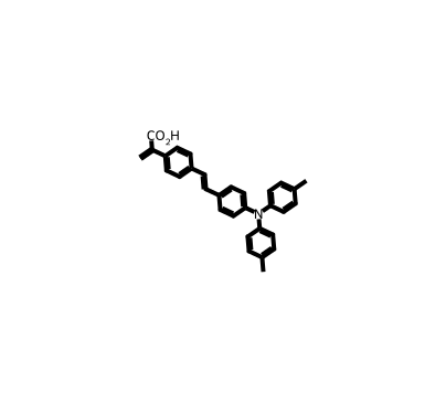 C=C(C(=O)O)c1ccc(/C=C/c2ccc(N(c3ccc(C)cc3)c3ccc(C)cc3)cc2)cc1